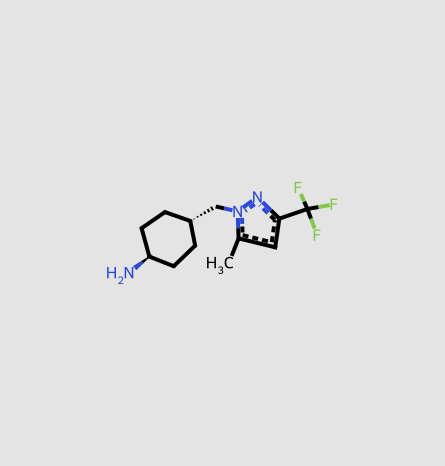 Cc1cc(C(F)(F)F)nn1C[C@H]1CC[C@H](N)CC1